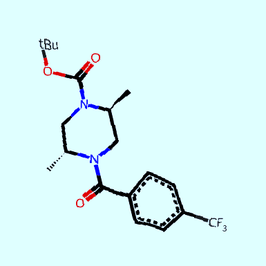 C[C@@H]1CN(C(=O)OC(C)(C)C)[C@@H](C)CN1C(=O)c1ccc(C(F)(F)F)cc1